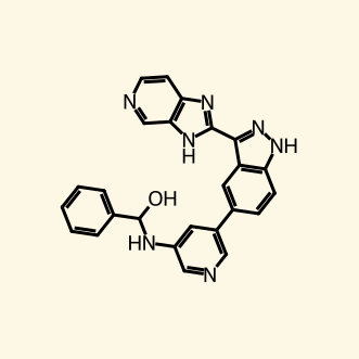 OC(Nc1cncc(-c2ccc3[nH]nc(-c4nc5ccncc5[nH]4)c3c2)c1)c1ccccc1